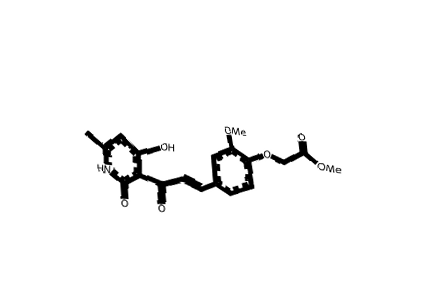 COC(=O)COc1ccc(C=CC(=O)c2c(O)cc(C)[nH]c2=O)cc1OC